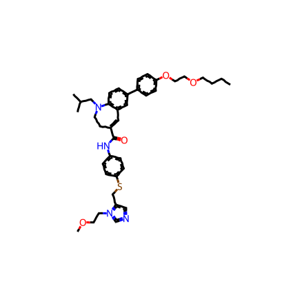 CCCCOCCOc1ccc(-c2ccc3c(c2)C=C(C(=O)Nc2ccc(SCc4cncn4CCOC)cc2)CCN3CC(C)C)cc1